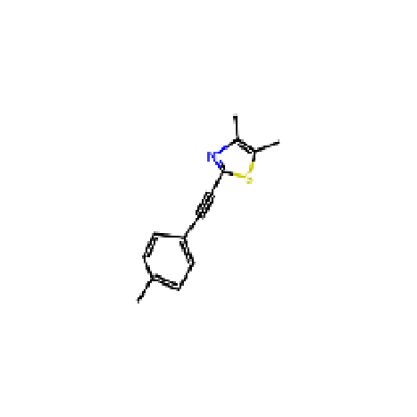 Cc1ccc(C#Cc2nc(C)c(C)s2)cc1